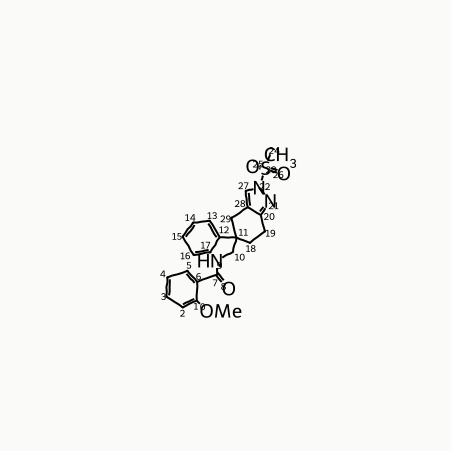 COc1ccccc1C(=O)NCC1(c2ccccc2)CCc2nn(S(C)(=O)=O)cc2C1